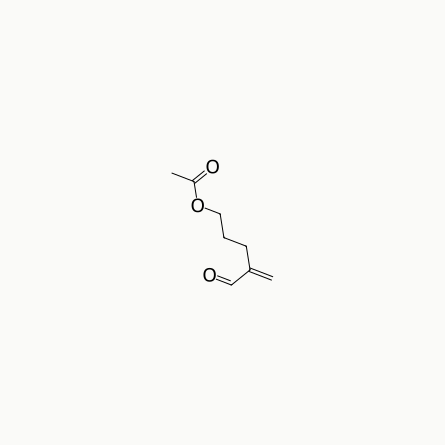 C=C(C=O)CCCOC(C)=O